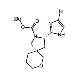 CC(C)(C)OC(=O)N1C[C@]2(CCCOC2)C[C@H]1c1nc(Br)c[nH]1